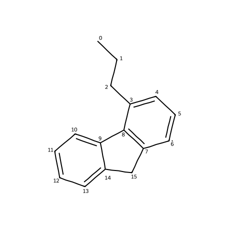 CCCc1cc[c]c2c1-c1ccccc1C2